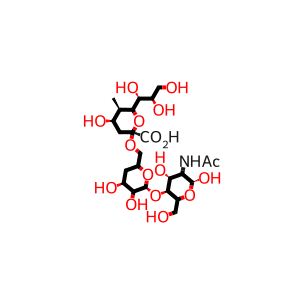 CC(=O)NC1[C@H](O)OC(CO)[C@@H](O[C@@H]2OC(CO[C@]3(C(=O)O)C[C@@H](O)[C@@H](C)C([C@H](O)[C@H](O)CO)O3)C[C@H](O)C2O)[C@@H]1O